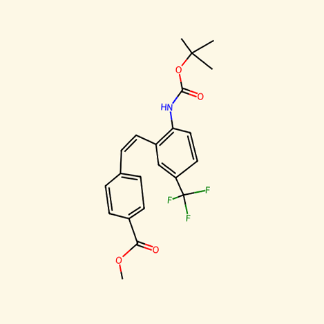 COC(=O)c1ccc(/C=C\c2cc(C(F)(F)F)ccc2NC(=O)OC(C)(C)C)cc1